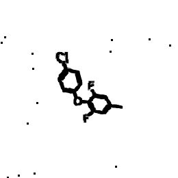 Cc1cc(F)c(Oc2ccc(Cl)cc2)c(F)c1